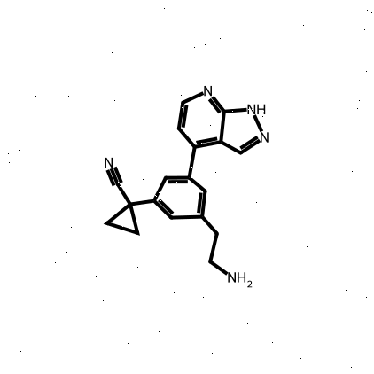 N#CC1(c2cc(CCN)cc(-c3ccnc4[nH]ncc34)c2)CC1